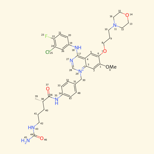 COc1cc2c(cc1OCCCN1CCOCC1)c(Nc1ccc(F)c(Cl)c1)nc[n+]2Cc1ccc(NC(=O)[C@@H](C)CCCNC(N)=O)cc1